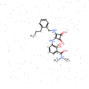 CCCc1ccccc1CNc1c(Nc2cccc(C(=O)N(C)C)c2O)c(=O)c1=O